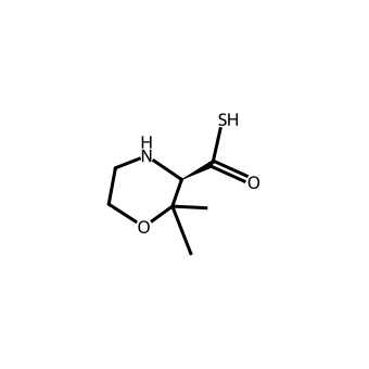 CC1(C)OCCN[C@H]1C(=O)S